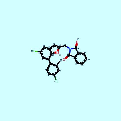 Cc1cc(Cl)ccc1-c1cc(F)cc2cc(CN3C(=O)c4ccccc4C3=O)oc12